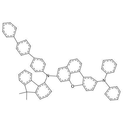 CC1(C)c2ccccc2-c2c(N(c3ccc(-c4ccc(-c5ccccc5)cc4)cc3)c3cc4c5c(cccc5c3)-c3cc(N(c5ccccc5)c5ccccc5)ccc3O4)cccc21